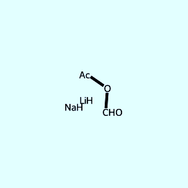 CC(=O)OC=O.[LiH].[NaH]